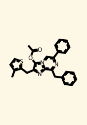 CC(=O)Oc1c(Cc2sccc2C)nc2c(Cc3ccccc3)nc(-c3ccccc3)cn12